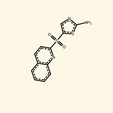 Nc1ncc(S(=O)(=O)c2ccc3ccccc3n2)s1